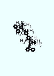 C=C(C)C(=O)OC(COc1ccccc1-c1ccccc1)COc1c(C)cc(-c2cc(C)c(OCC(COc3ccccc3-c3ccccc3)OC(=O)C(=C)C)c(C)c2)cc1C